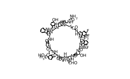 CCCC[C@H]1C(=O)N2C[C@@H](O)C[C@@H]2C(=O)N[C@@H](COC=O)C(=O)N[C@@H](C(C)C)C(=O)N(C)[C@@H](Cc2ccc(C)cc2)C(=O)N[C@@H](CCC(=O)O)C(=O)N2CCC[C@@H]2C(=O)N[C@@H](Cc2c[nH]c3ccccc23)C(=O)N[C@@H](Cc2ccc(O)cc2)C(=O)N[C@@H](CC(C)C)C(=O)N[C@H](C(=O)NCC(N)=O)CSCC(=O)N[C@@H](Cc2cc(F)c(F)c(F)c2)C(=O)N(C)[C@@H](Cc2ccccc2)C(=O)N1C